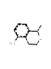 CC1OCCc2c(O)cccc21